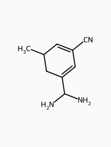 CC1C=C(C#N)C=C(C(N)N)C1